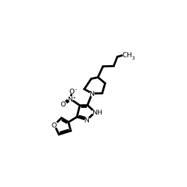 CCCCC1CCN(c2[nH]nc(-c3ccoc3)c2[N+](=O)[O-])CC1